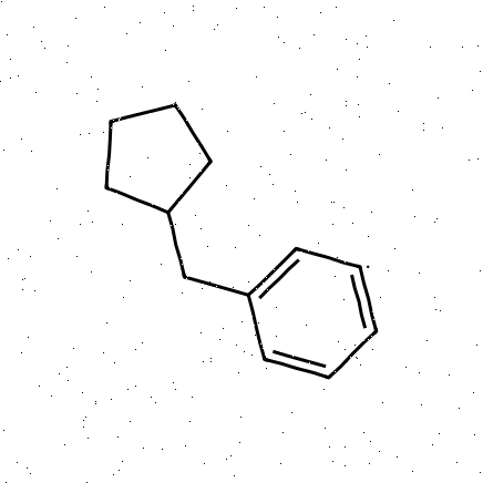 [c]1cccc(CC2CCCC2)c1